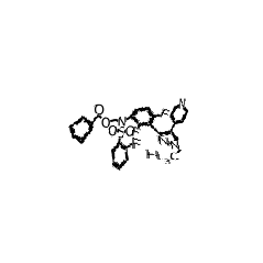 CCn1cc(-c2ccncc2)c(-c2c(F)ccc(N(COC(=O)c3ccccc3)S(=O)(=O)c3ccccc3F)c2F)n1